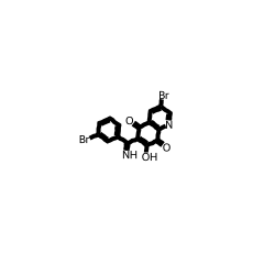 N=C(C1=C(O)C(=O)c2ncc(Br)cc2C1=O)c1cccc(Br)c1